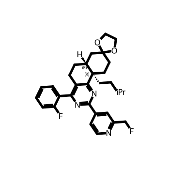 CC(C)CC[C@@]12CCC3(C[C@H]1CCc1c(-c4ccccc4F)nc(-c4ccnc(CF)c4)nc12)OCCO3